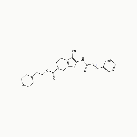 N#Cc1c(NC(=O)/C=C/c2cccnc2)sc2c1CCN(C(=O)OCCN1CCOCC1)C2